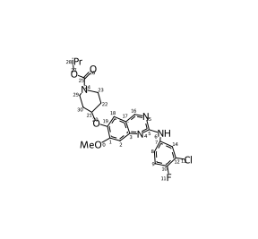 COc1cc2nc(Nc3ccc(F)c(Cl)c3)ncc2cc1OC1CCN(C(=O)OC(C)C)CC1